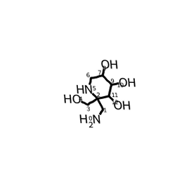 NCC1(CO)NCC(O)C(O)C1O